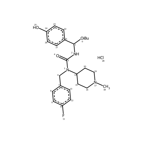 CC(C)COC(NC(=O)N(Cc1ccc(F)cc1)C1CCN(C)CC1)c1ccc(O)cc1.Cl